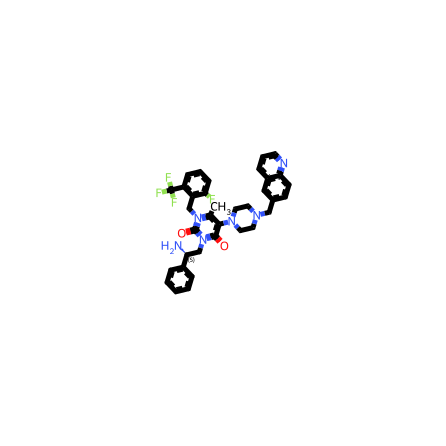 Cc1c(N2CCN(Cc3ccc4ncccc4c3)CC2)c(=O)n(C[C@@H](N)c2ccccc2)c(=O)n1Cc1c(F)cccc1C(F)(F)F